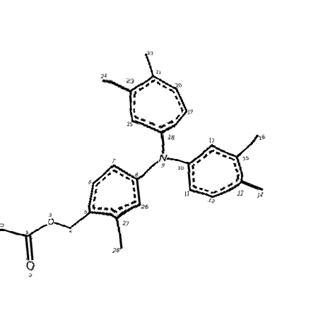 CC(=O)OCc1ccc(N(c2ccc(C)c(C)c2)c2ccc(C)c(C)c2)cc1C